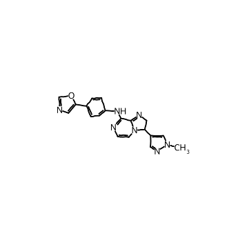 Cn1cc(C2CN=C3C(Nc4ccc(-c5cnco5)cc4)=NC=CN32)cn1